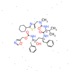 CC(C)[C@H](NC(=O)N(C)Cc1csc(C2CCCCC2)n1)C(=O)N[C@@H](Cc1ccccc1)C[C@H](O)[C@H](Cc1ccccc1)NC(=O)OCc1cnco1